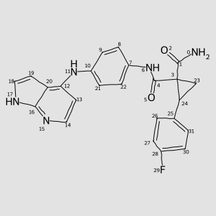 NC(=O)C1(C(=O)Nc2ccc(Nc3ccnc4[nH]ccc34)cc2)CC1c1ccc(F)cc1